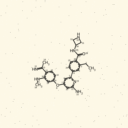 CCc1cc(-c2cc(Oc3ccc(C(C)=N)c(NC)c3)cc(N)n2)ccc1C(=O)NC1CNC1